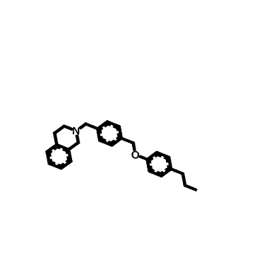 CCCc1ccc(OCc2ccc(CN3CCc4ccccc4C3)cc2)cc1